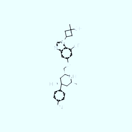 C[C@H]1C[C@@](O)(c2ccc(C#N)cc2)C[C@@H](COc2cc(C(F)(F)F)c3c(c2)ncn3C2CC(C)(O)C2)N1